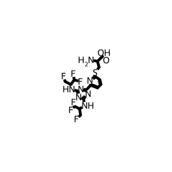 NC(CSc1cccc(-c2nc(NC(CF)C(F)F)nc(NC(CF)C(F)F)n2)n1)C(=O)O